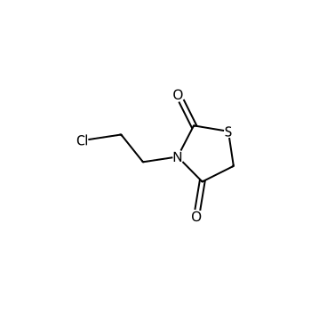 O=C1CSC(=O)N1CCCl